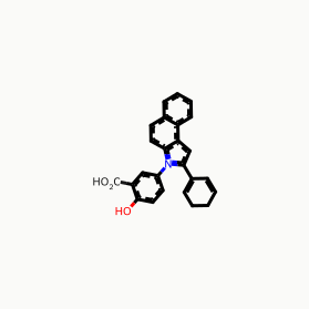 O=C(O)c1cc(-n2c(C3=CCCC=C3)cc3c4ccccc4ccc32)ccc1O